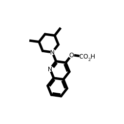 CC1CC(C)CN(c2nc3ccccc3cc2OC(=O)O)C1